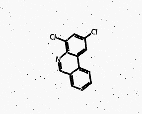 Clc1cc(Cl)c2n[c]c3ccccc3c2c1